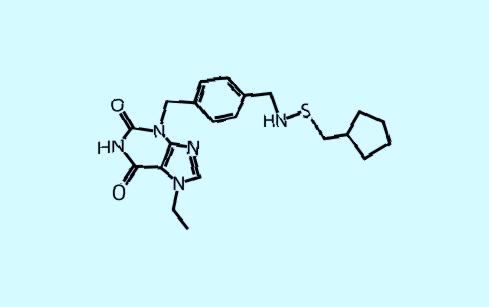 CCn1cnc2c1c(=O)[nH]c(=O)n2Cc1ccc(CNSCC2CCCC2)cc1